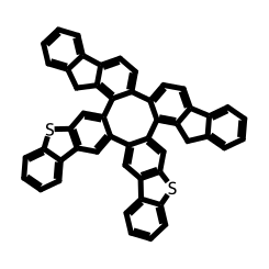 c1ccc2c(c1)Cc1c-2ccc2c1-c1cc3sc4ccccc4c3cc1-c1cc3c(cc1-c1c-2ccc2c1Cc1ccccc1-2)sc1ccccc13